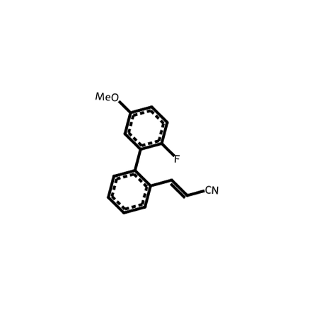 COc1ccc(F)c(-c2ccccc2C=CC#N)c1